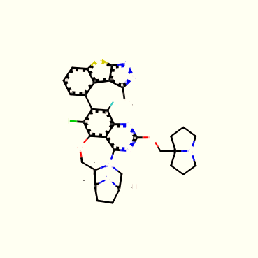 N#Cc1n[nH]c2sc3cccc(-c4c(Cl)c5c6c(nc(OCC78CCCN7CCC8)nc6c4F)N4C[C@H]6CC[C@H](N6)[C@H]4CO5)c3c12